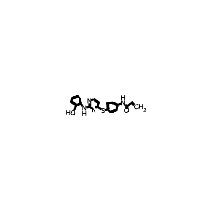 C=CC(=O)Nc1ccc(Sc2ccnc(Nc3ccccc3O)n2)cc1